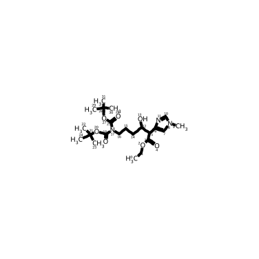 CCOC(=O)C(c1cn(C)cn1)C(O)CCCN(C(=O)OC(C)(C)C)C(=O)OC(C)(C)C